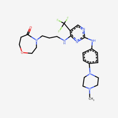 CN1CCN(c2ccc(Nc3ncc(C(F)(F)F)c(NCCCN4CCOCCC4=O)n3)cc2)CC1